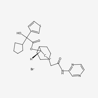 O=C(C[N+]12CCC(CC1)[C@@H](OC(=O)C(O)(c1ccsc1)C1CCCC1)C2)Nc1cnccn1.[Br-]